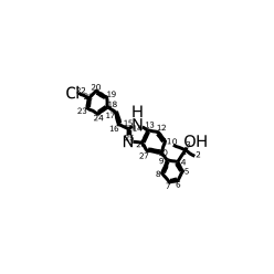 CC(C)(O)c1ccccc1-c1ccc2[nH]c(C=Cc3ccc(Cl)cc3)nc2c1